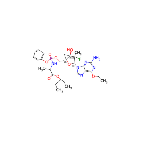 CCOc1nc(N)nc2c1ncn2[C@@H]1O[C@@]2(COP(=O)(NC(C)C(=O)OC(CC)CC)Oc3ccccc3)C[C@]2(O)[C@@]1(C)F